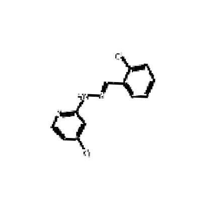 Clc1ccnc(N/N=C/c2ccccc2Cl)c1